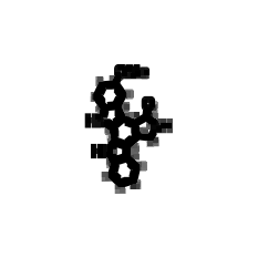 COc1ccc2[nH]c3c4[nH]c5ccccc5c4c4c(c3c2c1)C(=O)NC4